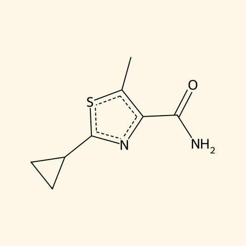 Cc1sc(C2CC2)nc1C(N)=O